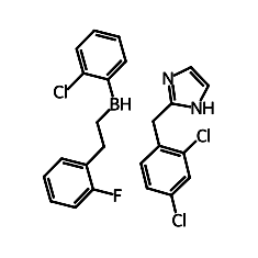 Clc1ccc(Cc2ncc[nH]2)c(Cl)c1.Fc1ccccc1CCBc1ccccc1Cl